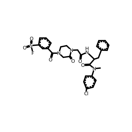 CN(C(=O)C(Cc1ccccc1)NC(=O)CN1CCN(C(=O)c2cccc(S(=O)(=O)F)c2)CC1=O)c1ccc(Cl)cc1